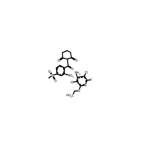 CS(=O)(=O)c1ccc(C(=O)C2C(=O)CCCC2=O)c([N+](=O)[O-])c1.Nc1c(Cl)c(F)nc(OCC(=O)O)c1Cl